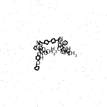 COC(=O)N[C@@H](Cc1ccc(OCc2ccccc2)cc1)C(=O)N1CCC[C@H]1c1ncc(-c2ccc(-c3ccc(-c4cnc([C@@H]5CCCN5C(=O)[C@@H](NC(=O)OC)C(C)C)[nH]4)cc3)cc2)[nH]1